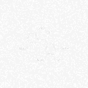 COc1ccc([N+](=O)[O-])c(C(O)c2cc(OC)c(OC)c(OC)c2)c1